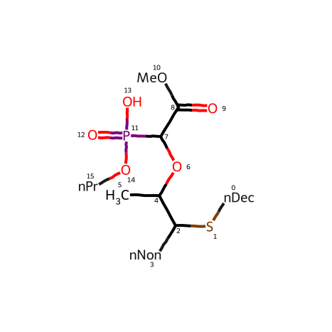 CCCCCCCCCCSC(CCCCCCCCC)C(C)OC(C(=O)OC)P(=O)(O)OCCC